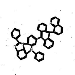 c1ccc(-c2nc3cccc4c3n2-c2ccc(-c3c5ccccc5c(-c5cccc6cccnc56)c5ccccc35)cc2N4c2ccccc2)cc1